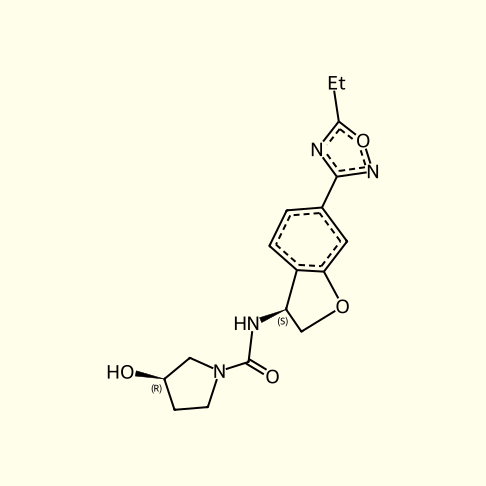 CCc1nc(-c2ccc3c(c2)OC[C@H]3NC(=O)N2CC[C@@H](O)C2)no1